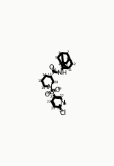 O=C(NC1C2CC3CC(C2)CC1C3)[C@H]1CCCN(S(=O)(=O)c2ccc(Cl)nc2)C1